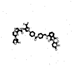 O=C1CCC(N2C(=O)c3cccc(NCC4CCN(C(=O)[C@H]5CC[C@H](n6cc(NC(=O)c7cnn8ccc(N9C[C@H]%10CC9CO%10)nc78)c(C(F)F)n6)CC5)CC4)c3C2=O)C(=O)N1